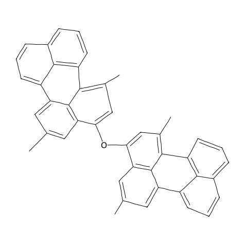 Cc1cc2c(Oc3cc(C)c4c5cccc6cccc(c7cc(C)cc3c74)c65)cc(C)c3c4cccc5cccc(c(c1)c23)c54